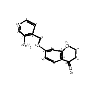 Nc1cnccc1COc1ccc2c(c1)OCCC2=O